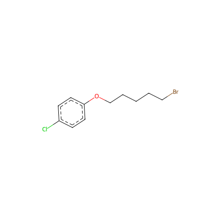 Clc1ccc(OCCCCCBr)cc1